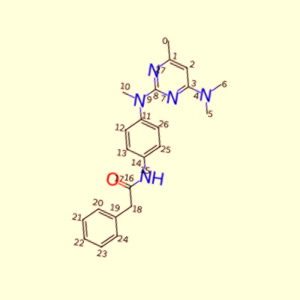 Cc1cc(N(C)C)nc(N(C)c2ccc(NC(=O)Cc3ccccc3)cc2)n1